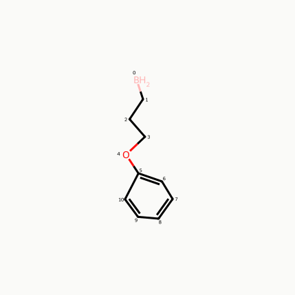 BCCCOc1ccccc1